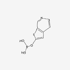 OB(O)Oc1cc2ccncc2s1